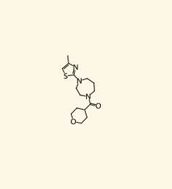 Cc1csc(N2CCCN(C(=O)C3CCOCC3)CC2)n1